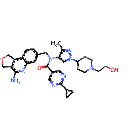 Cc1nn(C2CCN(CCO)CC2)cc1N(Cc1ccc2c3c(c(N)nc2c1)COC3)C(=O)c1cnc(C2CC2)nc1